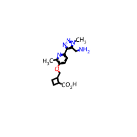 Cc1nc(-c2nnn(C)c2CN)ccc1OCC1CCC1C(=O)O